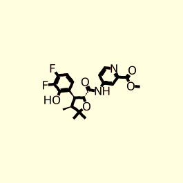 COC(=O)c1cc(NC(=O)[C@@H]2OC(C)(C)[C@@H](C)[C@H]2c2ccc(F)c(F)c2O)ccn1